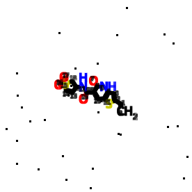 C=Cc1cc2[nH]c(=O)c(C(=O)NC3C=CS(=O)(=O)C3)cc2s1